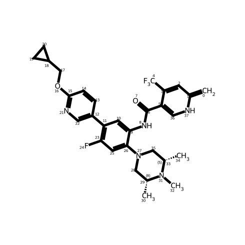 C=C1C=C(C(F)(F)F)C(C(=O)Nc2cc(-c3ccc(OCC4CC4)nc3)c(F)cc2N2C[C@@H](C)N(C)[C@@H](C)C2)=CN1